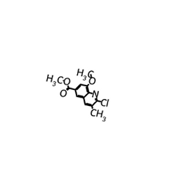 COC(=O)c1cc(OC)c2nc(Cl)c(C)cc2c1